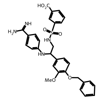 COc1cc(C(CNS(=O)(=O)c2cccc(C(=O)O)c2)Nc2ccc(C(=N)N)cc2)ccc1OCc1ccccc1